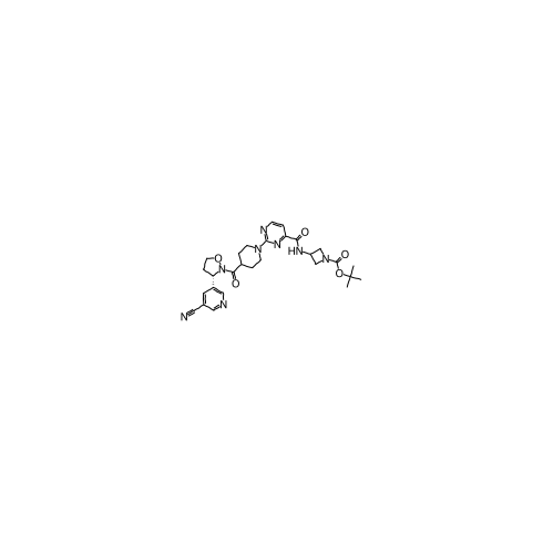 CC(C)(C)OC(=O)N1CC(NC(=O)c2ccnc(N3CCC(C(=O)N4OCC[C@H]4c4cncc(C#N)c4)CC3)n2)C1